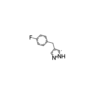 Fc1ccc(Cc2[c][nH]nc2)cc1